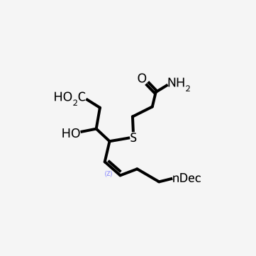 CCCCCCCCCCCC/C=C\C(SCCC(N)=O)C(O)CC(=O)O